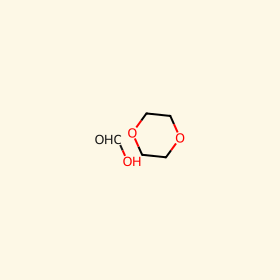 C1COCCO1.O=CO